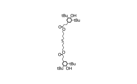 CC(C)(C)c1cc(CCC(=O)OCCCCSCCCCOC(=O)CCc2cc(C(C)(C)C)c(O)c(C(C)(C)C)c2)cc(C(C)(C)C)c1O